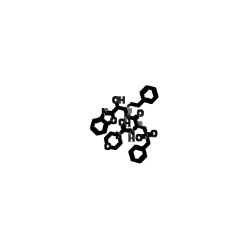 O=C(N[C@@H](CCc1ccccc1)C(O)c1nc2ccccc2o1)[C@@H](CS(=O)(=O)Cc1ccccc1)NC(=O)N1CCOCC1